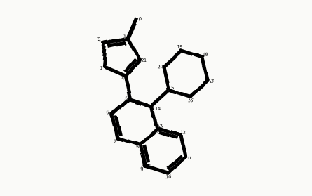 CC1=CCC(C2C=Cc3ccccc3C2C2CCCCC2)=C1